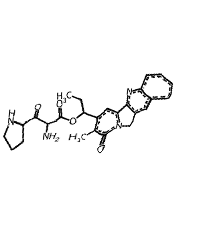 CCC(OC(=O)C(N)C(=O)C1CCCN1)c1cc2n(c(=O)c1C)Cc1cc3ccccc3nc1-2